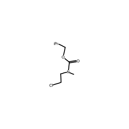 CC(C)COC(=O)N(C)CCCl